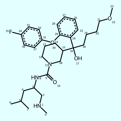 CNCC(CC(C)C)NC(=O)N1CCCC(C(O)(CCCCOC)c2ccccc2Oc2ccc(F)cc2)C1